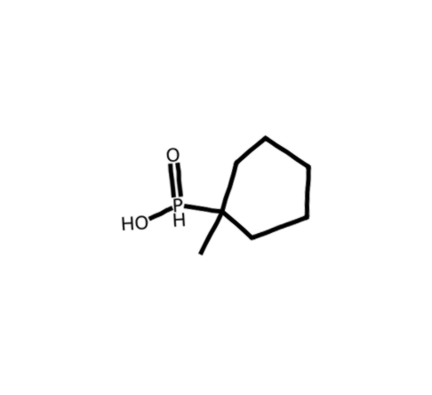 CC1([PH](=O)O)CCCCC1